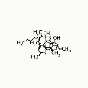 CCCCN1CC2Cc3cccc(O)c3C23C(C(CCC)N(C)c2nc(C)cc(C)n2)CCC3(C)C1C